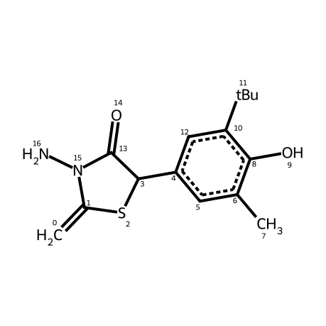 C=C1SC(c2cc(C)c(O)c(C(C)(C)C)c2)C(=O)N1N